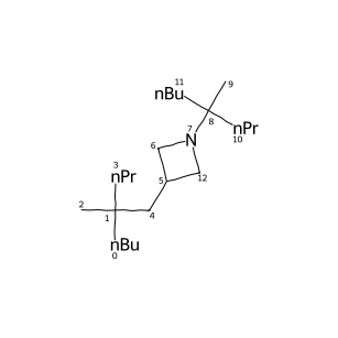 CCCCC(C)(CCC)CC1CN(C(C)(CCC)CCCC)C1